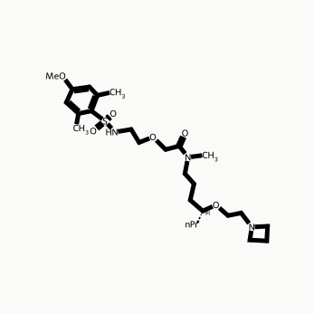 CCC[C@H](CCCN(C)C(=O)COCCNS(=O)(=O)c1c(C)cc(OC)cc1C)OCCN1CCC1